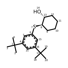 CC(C)(C)c1cc(S[C@@H]2CCCC[C@H]2O)cc(C(C)(C)C)c1